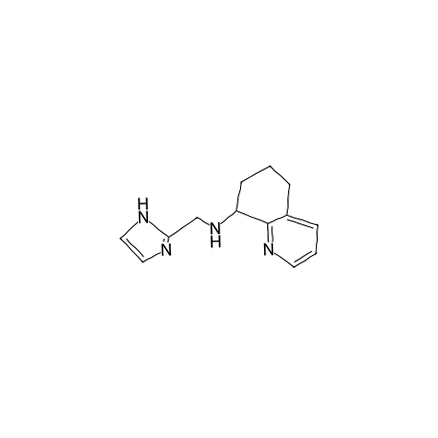 c1cnc2c(c1)CCCC2NCc1ncc[nH]1